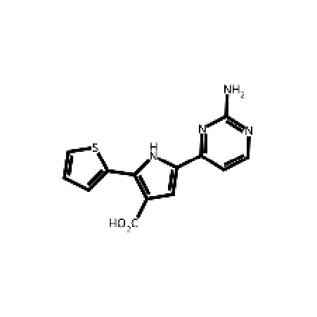 Nc1nccc(-c2cc(C(=O)O)c(-c3cccs3)[nH]2)n1